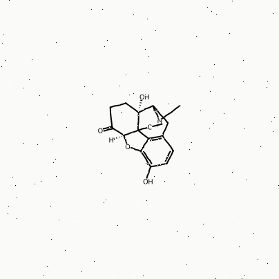 CN1CCC23c4c5ccc(O)c4O[C@H]2C(=O)CC[C@@]3(O)C1C5